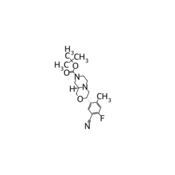 Cc1cc(F)c(C#N)cc1[C@H]1CN2CCN(C(=O)OC(C)(C)C)C[C@H]2CO1